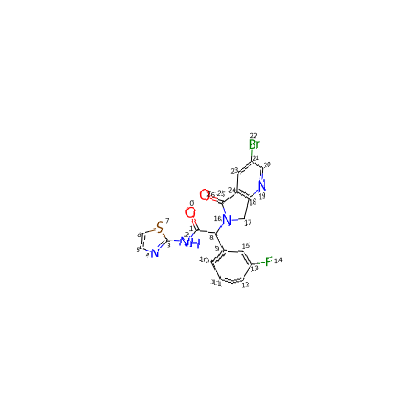 O=C(Nc1nccs1)C(c1cccc(F)c1)N1Cc2ncc(Br)cc2C1=O